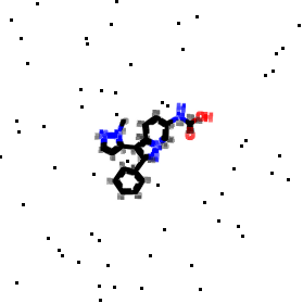 Cn1nccc1-c1c(-c2ccccc2)nn2cc(NC(=O)O)ccc12